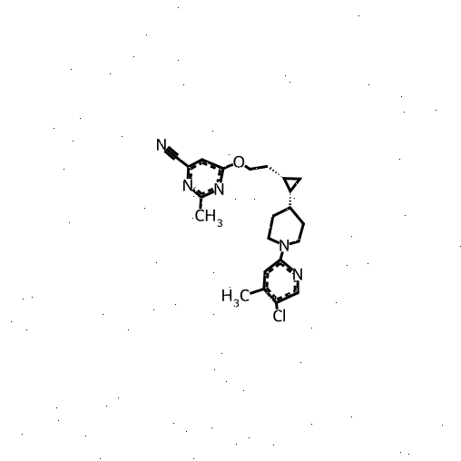 Cc1nc(C#N)cc(OCC[C@@H]2C[C@@H]2C2CCN(c3cc(C)c(Cl)cn3)CC2)n1